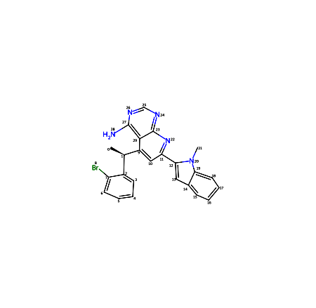 C[C@H](c1ccccc1Br)c1cc(-c2cc3ccccc3n2C)nc2ncnc(N)c12